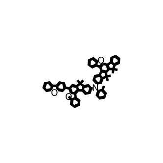 Cc1ccccc1N(c1ccc2c(c1)C(C)(C)c1cc(-c3ccc4c(c3)oc3ccccc34)c3oc4ccccc4c3c1-2)c1ccc2c(c1)C(C)(C)c1c3c(c4oc5ccccc5c4c1-2)-c1ccccc1C3(C)C